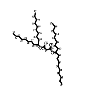 CCCCCCCCCC(CCCCCCCC)OC(=O)CC(=O)OC(CCCCCCCC)CCCCCCCCC